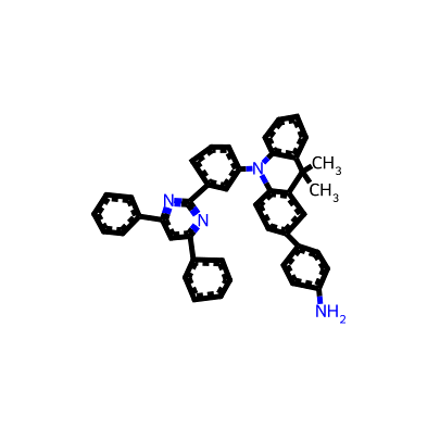 CC1(C)c2ccccc2N(c2cccc(-c3nc(-c4ccccc4)cc(-c4ccccc4)n3)c2)c2ccc(-c3ccc(N)cc3)cc21